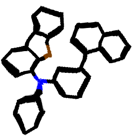 c1ccc(N(c2cccc(-c3cccc4ccccc34)c2)c2cccc3c2sc2ccccc23)cc1